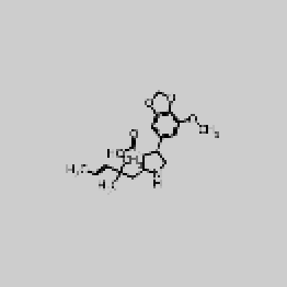 C/C=C/C(C)(C)C[C@@H]1NC[C@H](c2cc(OC)c3c(c2)OCO3)[C@H]1C(=O)O